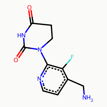 NCc1ccnc(N2CCC(=O)NC2=O)c1F